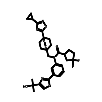 CC(C)(O)c1coc(-c2cccc(N(CC34CCC(c5nc(C6CC6)no5)(CC3)CC4)C(=O)C3CCC(F)(F)C3)c2)n1